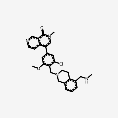 CNCc1cccc2c1CCN(Cc1c(Cl)cc(-c3cn(C)c(=O)c4cnccc34)cc1OC)C2